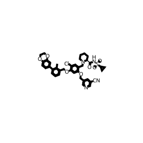 Cc1c(COc2cc(OCc3cncc(C#N)c3)c(CN3CCCC[C@H]3C(=O)NS(=O)(=O)C3CC3)cc2Cl)cccc1-c1ccc2c(c1)OCCO2